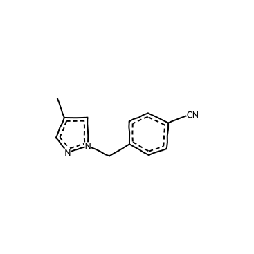 Cc1cnn(Cc2ccc(C#N)cc2)c1